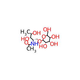 CC(=O)N[C@@H](COC1OC(CO)C(O)C(O)[C@@H]1O)[C@H](O)[C@@H](C)O